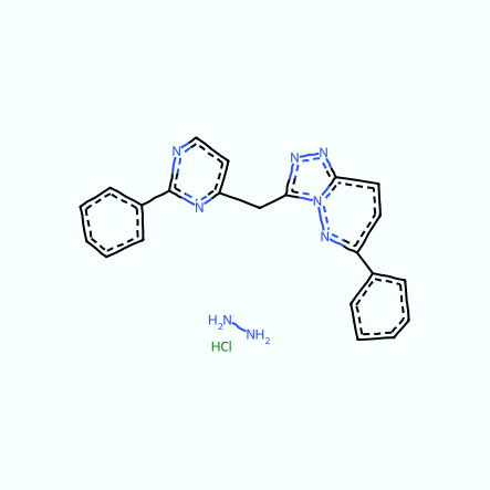 Cl.NN.c1ccc(-c2ccc3nnc(Cc4ccnc(-c5ccccc5)n4)n3n2)cc1